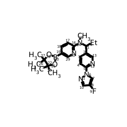 CCC(c1ccc(-n2cc(F)cn2)nc1)N(C)c1ccc(B2OC(C)(C)C(C)(C)O2)cn1